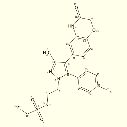 Cc1nn(CCNS(=O)(=O)CF)c(-c2ccc(F)cc2)c1-c1ccc2c(c1)NC(=O)CO2